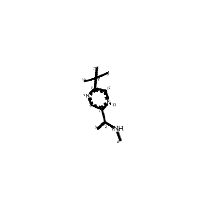 CNC(C)c1cnc(C(C)(C)C)cn1